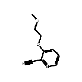 COCCOc1cccnc1C#N